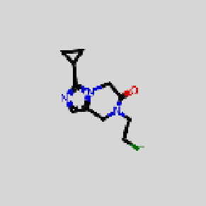 O=C1Cn2c(cnc2C2CC2)CN1CCF